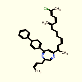 C=C(/C=C\C=C(/C)Cl)CCC/C=C\C=C(/C)C1=CC(C2=CCC(c3ccccc3)C=C2)=NC(C/C=C\C)C=N1